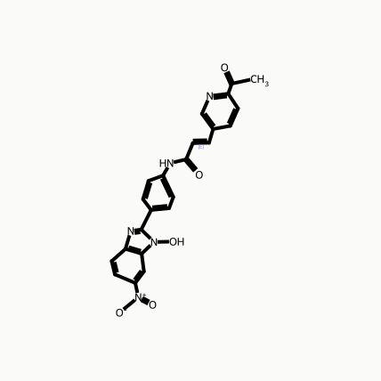 CC(=O)c1ccc(/C=C/C(=O)Nc2ccc(-c3nc4ccc([N+](=O)[O-])cc4n3O)cc2)cn1